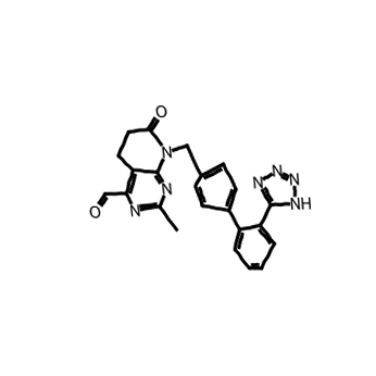 Cc1nc(C=O)c2c(n1)N(Cc1ccc(-c3ccccc3-c3nnn[nH]3)cc1)C(=O)CC2